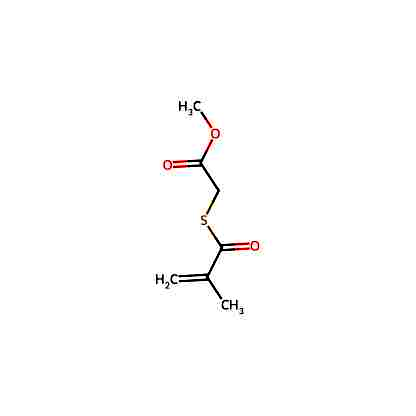 C=C(C)C(=O)SCC(=O)OC